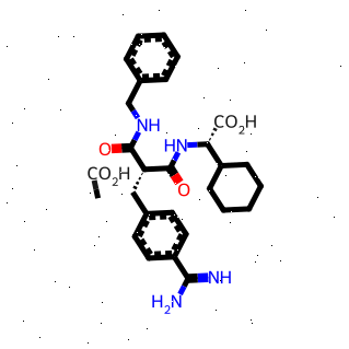 CC(=O)O.N=C(N)c1ccc(C[C@H](C(=O)NCc2ccccc2)C(=O)N[C@H](C(=O)O)C2CCCCC2)cc1